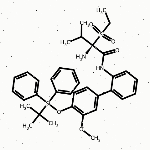 CCS(=O)(=O)[C@](N)(C(=O)Nc1ccccc1-c1ccc(O[Si](c2ccccc2)(c2ccccc2)C(C)(C)C)c(OC)c1)C(C)C